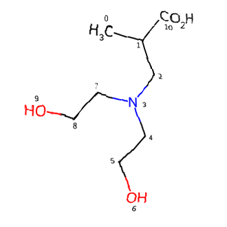 CC(CN(CCO)CCO)C(=O)O